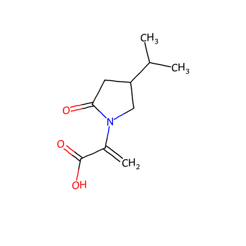 C=C(C(=O)O)N1CC(C(C)C)CC1=O